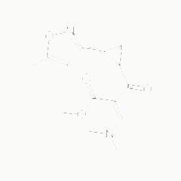 COC(=O)/C(=C\N(C)C)C(=O)C1CC1c1cc(C)on1